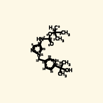 CC(C)(C)OC(=O)Nc1cnn(Cc2ccc(C(C)(C)O)nc2)c1